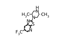 C[C@@H]1CN(c2nc3cc(C(F)(F)F)cnc3s2)[C@@H](C)CN1